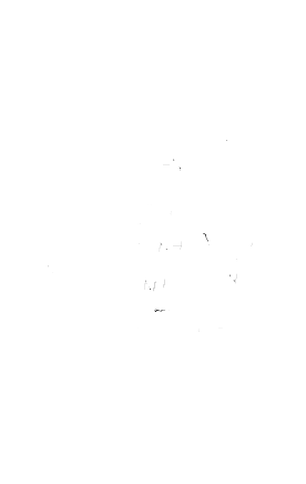 C[C@@H]1C[C@@H](C[C@H](NC(=O)c2cc(Cl)ccc2NC(=O)[C@H]2CC2(F)F)C(=O)C(=O)NC2CC2)C(=O)N1